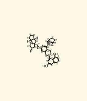 Cc1cccc2cc(O)cc(N3CCc4c(nc(OC[C@]56C[C@@H](F)CN5[C@H]5CCC[C@H]5C6)nc4N4CC5CCC(C4)N5)C3)c12